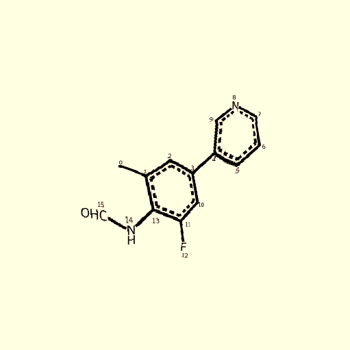 Cc1cc(-c2cccnc2)cc(F)c1NC=O